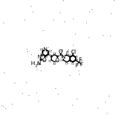 C[C@H]1c2c(Cl)cc(C(F)(F)F)cc2CCN1C(=O)[C@H]1C[C@@H](c2cncc3nc(N)oc23)CCO1